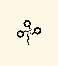 ClCCC[Si](Oc1ccccc1)(Oc1ccccc1)Oc1ccccc1